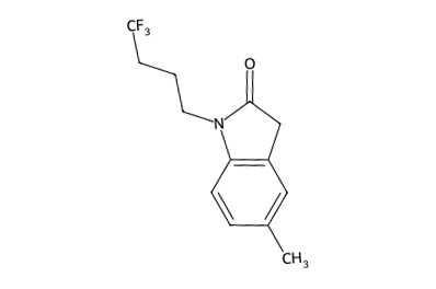 Cc1ccc2c(c1)CC(=O)N2CCCC(F)(F)F